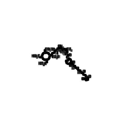 CC(C)(CNC(=O)CCC(C(=O)O)N1CCN(CC(=O)O)CCN(CC(=O)O)CCN(CC(=O)O)CC1)COCC(C)(C)CNC(=O)O[C@H]1/C=C/CC[C@@](O)(C(=O)NCCOCCNC(=O)CCN2C(=O)C=CC2=O)CC1